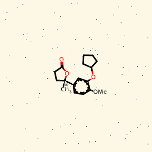 COc1ccc([C@]2(C)CCC(=O)O2)cc1OC1CCCC1